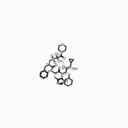 CC(C)(C(=O)N1CCOCC1)S(=O)(=O)C[C@H](Cc1ccccc1)C(=O)N[C@@H](Cc1c[nH]cn1)C(=O)N[C@@H](CC1CCCCC1)[C@@H](O)[C@@H](O)C1CC1